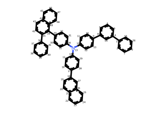 c1ccc(-c2cccc(-c3ccc(N(c4ccc(-c5ccc6ccccc6c5)cc4)c4ccc(-c5c(-c6ccccc6)ccc6ccccc56)cc4)cc3)c2)cc1